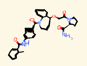 Cc1ccccc1C(=O)Nc1ccc(C(=O)N2CCCC(OCC(=O)N3CCC[C@H]3C(N)=O)c3ccccc32)cc1